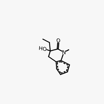 CCC1(O)Cc2ccccc2N(C)C1=O